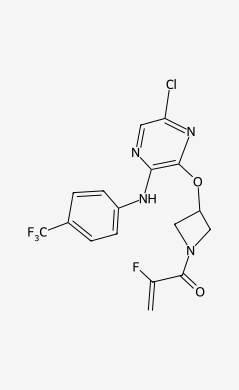 C=C(F)C(=O)N1CC(Oc2nc(Cl)cnc2Nc2ccc(C(F)(F)F)cc2)C1